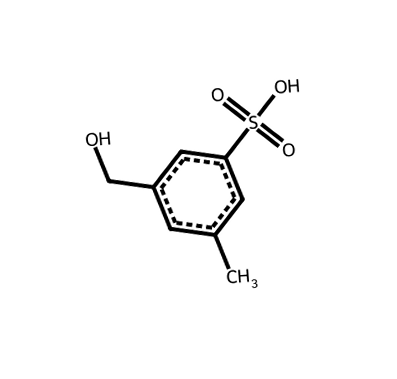 Cc1cc(CO)cc(S(=O)(=O)O)c1